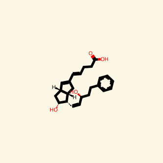 O=C(O)CCC=CC1=C[C@H]2C[C@@H](O)[C@@H](/C=C\[C@@H](O)CCc3ccccc3)[C@H]2C1